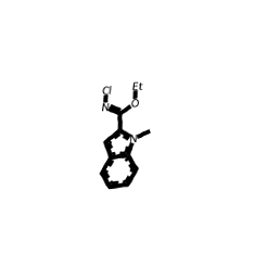 CCO/C(=N\Cl)c1cc2ccccc2n1C